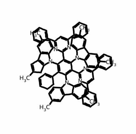 CC1=Cc2c(n(-c3c(C4=CC=CCC4)c(-n4c5ccc(C)cc5c5cc(C)ccc54)c(-c4nc(-c5ccccc5)cc(-c5ccccc5)n4)c(-n4c5ccc(C)cc5c5cc(C)ccc54)c3-c3nc(-c4ccccc4)cc(-c4ccccc4)n3)c3ccc(C)cc23)C1